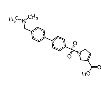 CN(C)Cc1ccc(-c2ccc(S(=O)(=O)N3CC=C(C(=O)O)C3)cc2)cc1